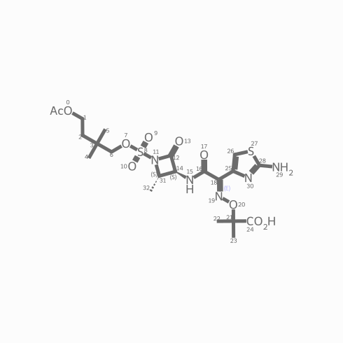 CC(=O)OCCC(C)(C)COS(=O)(=O)N1C(=O)[C@@H](NC(=O)/C(=N/OC(C)(C)C(=O)O)c2csc(N)n2)[C@@H]1C